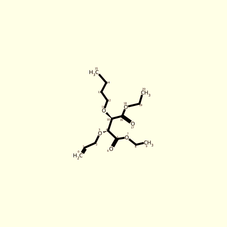 C=CCO[C@@H](C(=O)OCC)[C@@H](OCCCC)C(=O)OCC